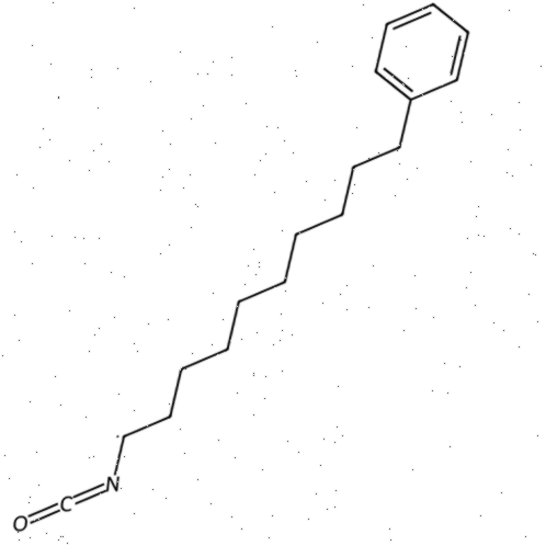 O=C=N[CH]CCCCCCCCCc1ccccc1